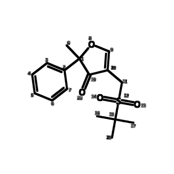 CC1(c2ccccc2)OC=C(CS(=O)(=O)C(C)(C)C)C1=O